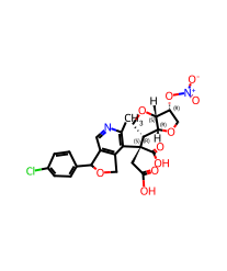 Cc1ncc2c(c1[C@@](CC(=O)O)(C(=O)O)[C@@H]1CO[C@H]3[C@@H]1OC[C@H]3O[N+](=O)[O-])COC2c1ccc(Cl)cc1